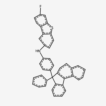 Fc1ccc2c(c1)sc1ccc(Nc3ccc(C4(c5ccccc5)c5ccccc5-c5c4ccc4ccccc54)cc3)cc12